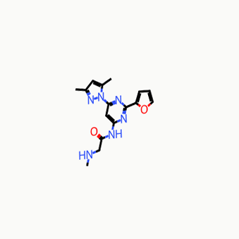 CNCC(=O)Nc1cc(-n2nc(C)cc2C)nc(-c2ccco2)n1